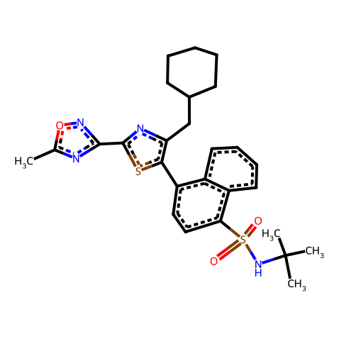 Cc1nc(-c2nc(CC3CCCCC3)c(-c3ccc(S(=O)(=O)NC(C)(C)C)c4ccccc34)s2)no1